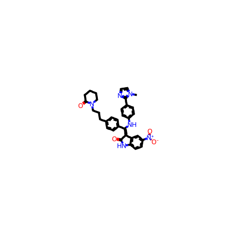 Cn1ccnc1-c1ccc(NC(=C2C(=O)Nc3ccc([N+](=O)[O-])cc32)c2ccc(CCCN3CCCCC3=O)cc2)cc1